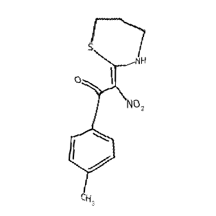 Cc1ccc(C(=O)/C(=C2/NCCCS2)[N+](=O)[O-])cc1